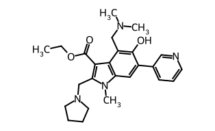 CCOC(=O)c1c(CN2CCCC2)n(C)c2cc(-c3cccnc3)c(O)c(CN(C)C)c12